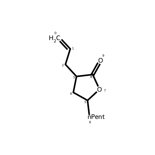 C=CCC1CC(CCCCC)OC1=O